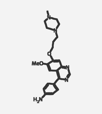 COc1cc2c(-c3ccc(N)cc3)ncnc2cc1OCCCN1CCN(C)CC1